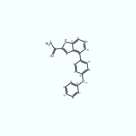 NC(=O)c1cc2c(-c3ccc(Oc4ccccc4)cc3)cncc2s1